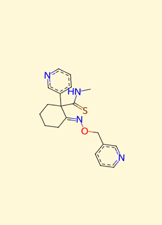 CNC(=S)C1(c2cccnc2)CCCCC1=NOCc1cccnc1